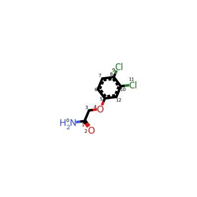 NC(=O)COc1ccc(Cl)c(Cl)c1